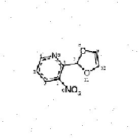 O=[N+]([O-])c1cccnc1C1OC=CO1